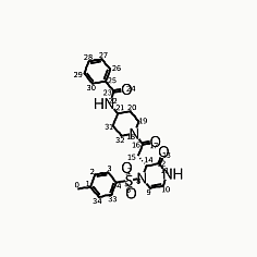 Cc1ccc(S(=O)(=O)N2C=CNC(=O)[C@H]2CC(=O)N2CCC(NC(=O)c3ccccc3)CC2)cc1